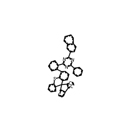 c1ccc(-c2nc(-c3ccc4ccccc4c3)nc(-c3ccccc3-c3cccc4c3Sc3ccccc3C43c4ccccc4-c4ccccc43)n2)cc1